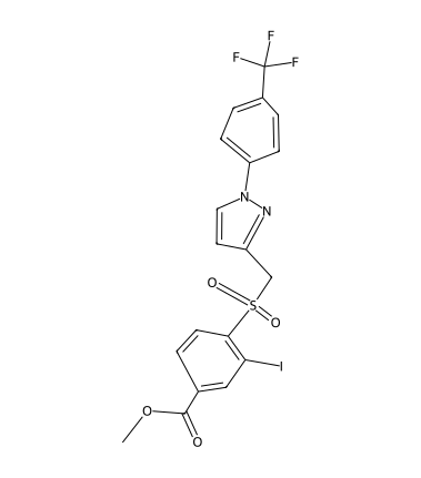 COC(=O)c1ccc(S(=O)(=O)Cc2ccn(-c3ccc(C(F)(F)F)cc3)n2)c(I)c1